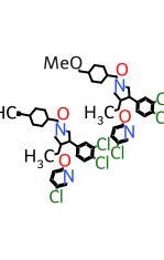 C#CC1CCC(C(=O)N2CC(c3ccc(Cl)c(Cl)c3)C(C(C)Oc3ccc(Cl)cn3)C2)CC1.COCC1CCC(C(=O)N2CC(c3ccc(Cl)c(Cl)c3)C(C(C)Oc3ccc(Cl)cn3)C2)CC1